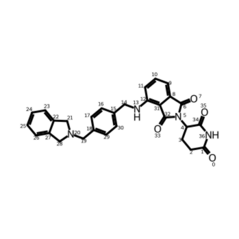 O=C1CCC(N2C(=O)c3cccc(NCc4ccc(CN5Cc6ccccc6C5)cc4)c3C2=O)C(=O)N1